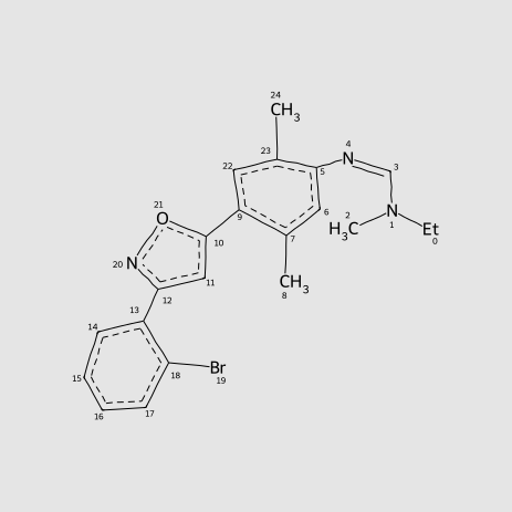 CCN(C)/C=N\c1cc(C)c(-c2cc(-c3ccccc3Br)no2)cc1C